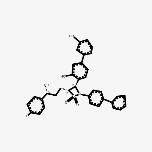 O=S1(=O)[C@H](CC[C@@H](O)c2ccc(F)cc2)[C@@H](c2ccc(-c3cccc(O)c3)cc2O)N1c1ccc(-c2ccccc2)cc1